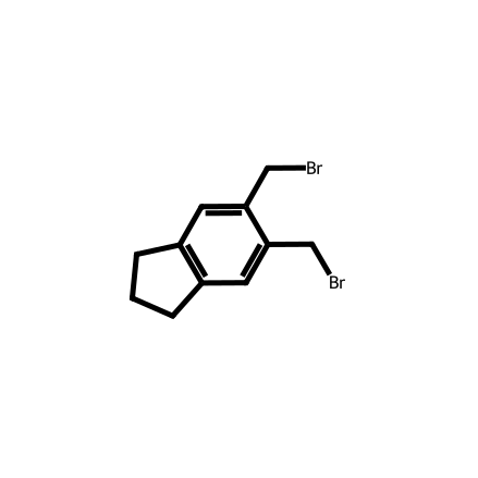 BrCc1cc2c(cc1CBr)CCC2